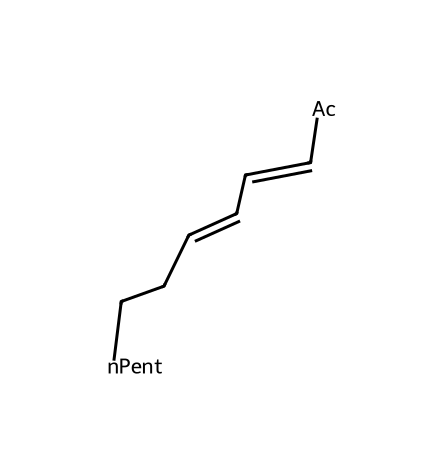 CCCCCCCC=CC=CC(C)=O